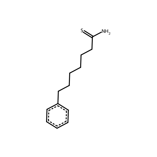 NC(=S)CCCCCCc1ccccc1